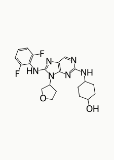 OC1CCC(Nc2ncc3nc(Nc4c(F)cccc4F)n(C4CCOC4)c3n2)CC1